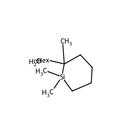 CCCCCCC1(C)CCCC[Si]1(C)C.O